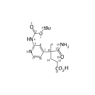 CC(C)(C)OC(=O)Nc1cc(C(C)(CCC(=O)O)C(N)=O)ccn1